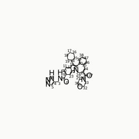 O=C(NCc1cnn[nH]1)c1ccc2c(C3CCCCC3)c3n(c2c1)CC(C(=O)N1CCOCC1)=Cc1ccccc1-3